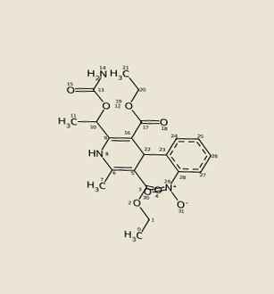 CCOC(=O)C1=C(C)NC(C(C)OC(N)=O)=C(C(=O)OCC)C1c1ccccc1[N+](=O)[O-]